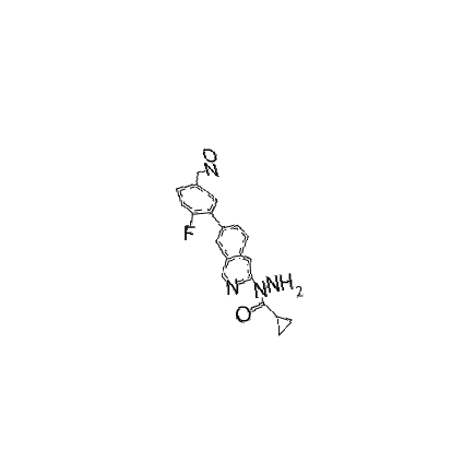 NN(C(=O)C1CC1)c1cc2ccc(-c3cc(CN=O)ccc3F)cc2cn1